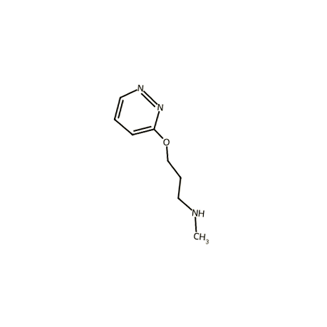 CNCCCOc1cccnn1